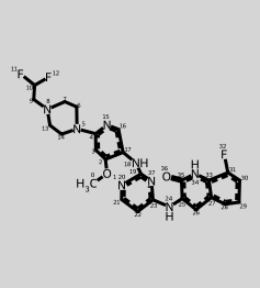 COc1cc(N2CCN(CC(F)F)CC2)ncc1Nc1nccc(Nc2cc3cccc(F)c3[nH]c2=O)n1